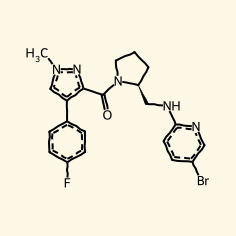 Cn1cc(-c2ccc(F)cc2)c(C(=O)N2CCC[C@H]2CNc2ccc(Br)cn2)n1